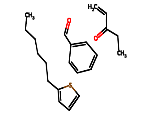 C=CC(=O)CC.CCCCCCc1cccs1.O=Cc1ccccc1